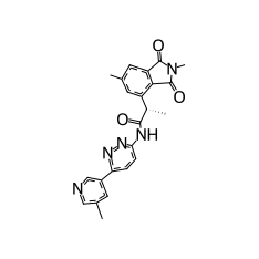 Cc1cncc(-c2ccc(NC(=O)[C@@H](C)c3cc(C)cc4c3C(=O)N(C)C4=O)nn2)c1